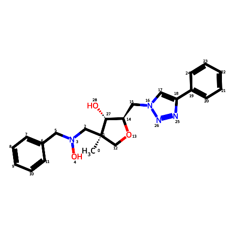 C[C@@]1(CN(O)Cc2ccccc2)CO[C@H](Cn2cc(-c3ccccc3)nn2)[C@H]1O